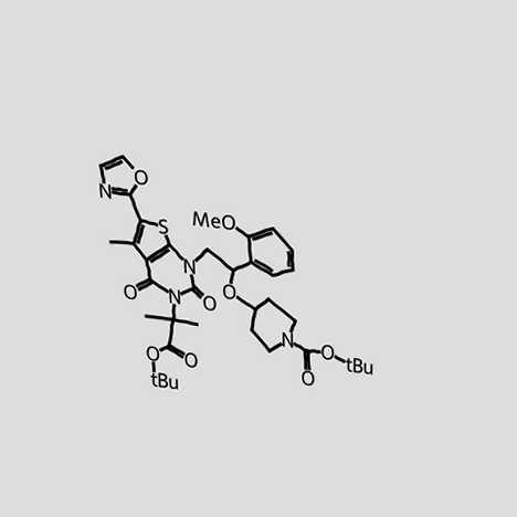 COc1ccccc1C(Cn1c(=O)n(C(C)(C)C(=O)OC(C)(C)C)c(=O)c2c(C)c(-c3ncco3)sc21)OC1CCN(C(=O)OC(C)(C)C)CC1